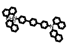 Cc1cccc2cccc(N(c3ccc(-c4ccc(-c5ccc(N(c6ccc7ccccc7c6)c6cccc7ccccc67)cc5)cc4)cc3)c3cccc4ccccc34)c12